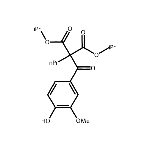 CCCC(C(=O)OC(C)C)(C(=O)OC(C)C)C(=O)c1ccc(O)c(OC)c1